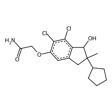 CC1(C2CCCC2)Cc2cc(OCC(N)=O)c(Cl)c(Cl)c2C1O